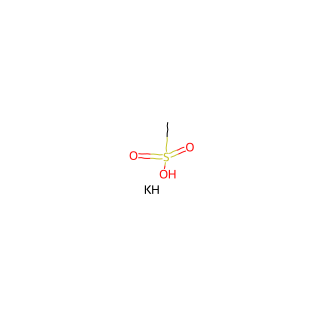 CS(=O)(=O)O.[KH]